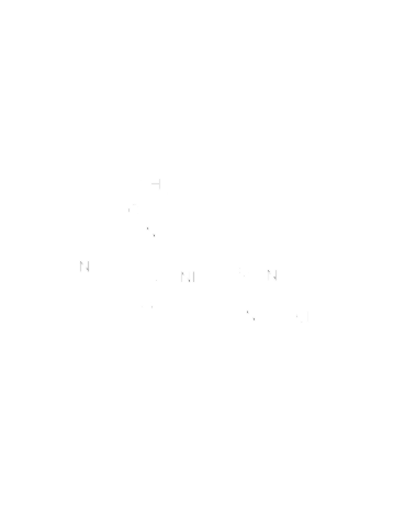 CON=C(C#N)C(=O)NCc1nc(C)no1